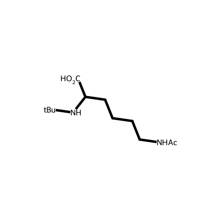 CC(=O)NCCCCC(NC(C)(C)C)C(=O)O